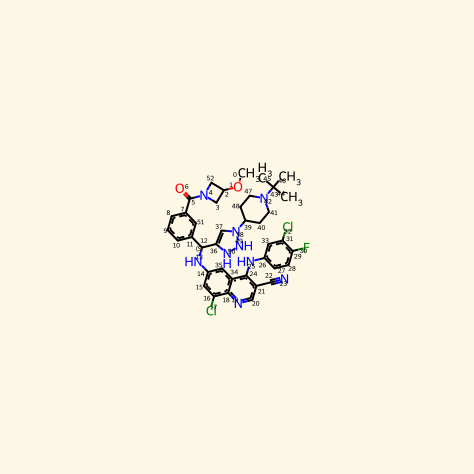 COC1CN(C(=O)c2cccc([C@H](Nc3cc(Cl)c4ncc(C#N)c(Nc5ccc(F)c(Cl)c5)c4c3)C3=CN(C4CCN(C(C)(C)C)CC4)NN3)c2)C1